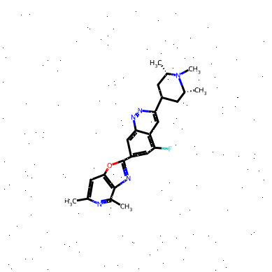 Cc1cc2oc(-c3cc(F)c4cc(C5C[C@@H](C)N(C)[C@@H](C)C5)nnc4c3)nc2c(C)n1